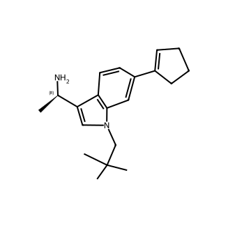 C[C@@H](N)c1cn(CC(C)(C)C)c2cc(C3=CCCC3)ccc12